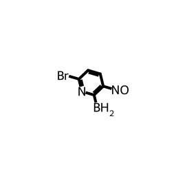 Bc1nc(Br)ccc1N=O